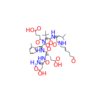 Cc1ccccc1C[C@H](NC(=O)[C@H](CCC(=O)O)NC(=O)[C@@H](N)CC(=O)O)C(=O)N(C(=O)CCC(=O)O)[C@H](C(=O)N[C@@H](CC(C)C)C(=O)NCC=CCCC=O)C(C)(C)C